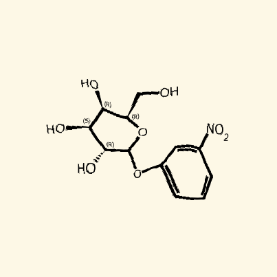 O=[N+]([O-])c1cccc(OC2O[C@H](CO)[C@H](O)[C@H](O)[C@H]2O)c1